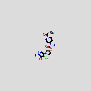 CC(C)(C)C(=O)N1CCC(NC(=O)O[C@@H]2CCN(c3cn[nH]c(=O)c3Cl)C2)CC1